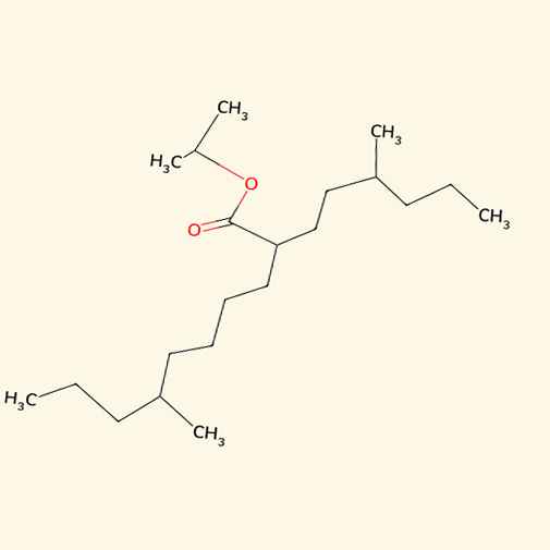 CCCC(C)CCCCC(CCC(C)CCC)C(=O)OC(C)C